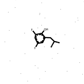 CC(C)Cc1cc(F)cc(F)c1O